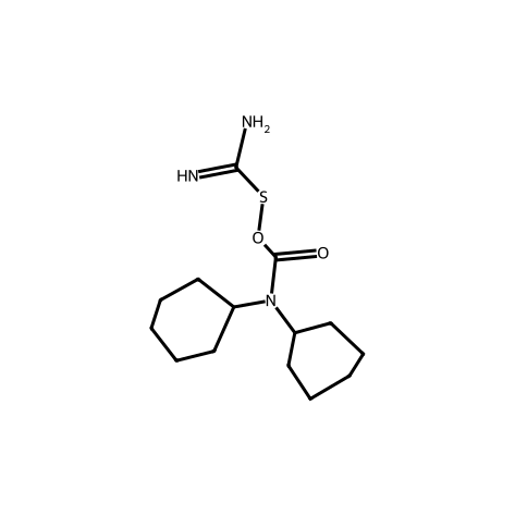 N=C(N)SOC(=O)N(C1CCCCC1)C1CCCCC1